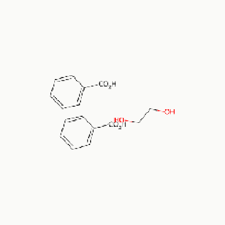 O=C(O)c1ccccc1.O=C(O)c1ccccc1.OCCO